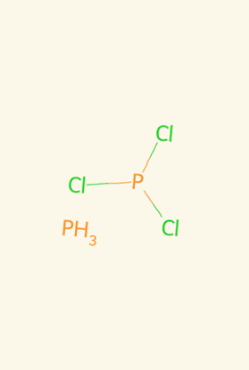 ClP(Cl)Cl.P